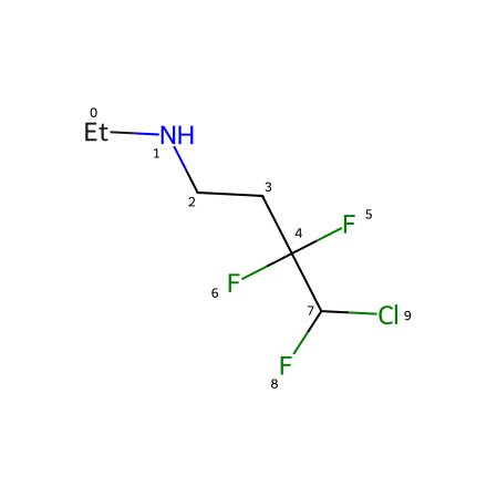 CCNCCC(F)(F)C(F)Cl